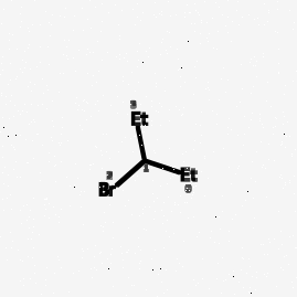 [CH2]CC(Br)CC